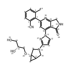 N#Cc1cccc(F)c1-c1cc(-n2ccc(N3CC4C[C@@]4(OC[C@H](O)CO)C3)n2)c2c(n1)CNC2=O